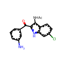 CC(=O)Nc1c(C(=O)c2cccc(N)c2)[nH]c2cc(Cl)ccc12